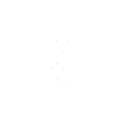 C(=CN1C=Cc2ccccc2C1)c1ccccc1